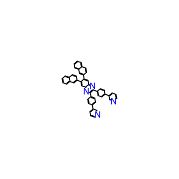 c1cncc(-c2ccc(-c3nc4cc(-c5ccc6ccccc6c5)c(-c5ccc6ccccc6c5)cc4nc3-c3ccc(-c4cccnc4)cc3)cc2)c1